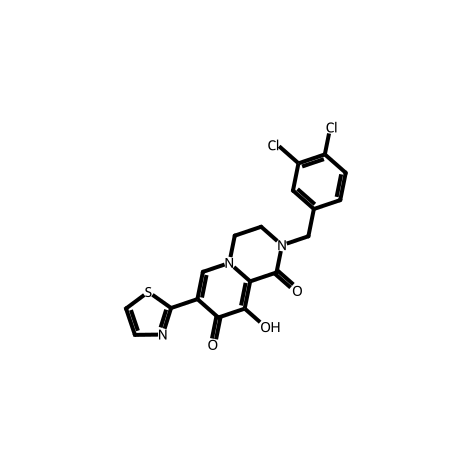 O=C1c2c(O)c(=O)c(-c3nccs3)cn2CCN1Cc1ccc(Cl)c(Cl)c1